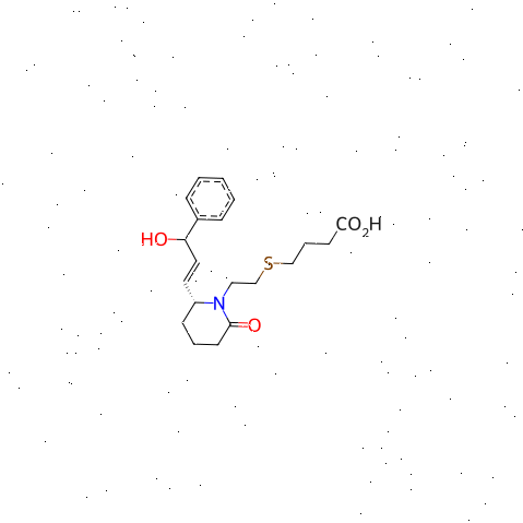 O=C(O)CCCSCCN1C(=O)CCC[C@@H]1/C=C/C(O)c1ccccc1